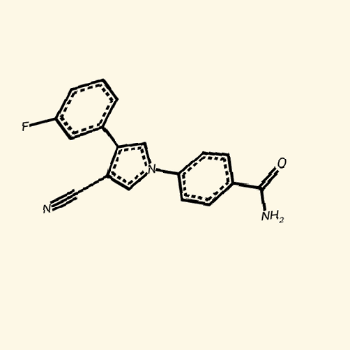 N#Cc1cn(-c2ccc(C(N)=O)cc2)cc1-c1cccc(F)c1